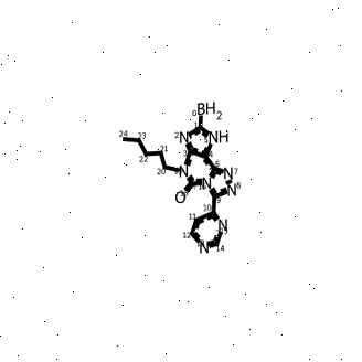 Bc1nc2c([nH]1)c1nnc(-c3ccncn3)n1c(=O)n2CCCCC